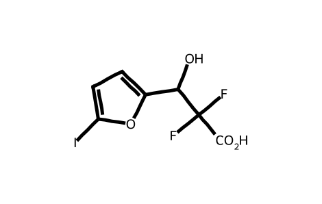 O=C(O)C(F)(F)C(O)c1ccc(I)o1